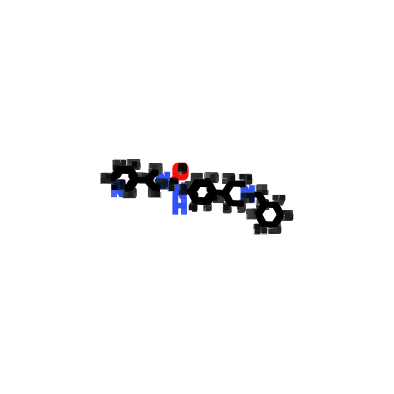 O=C(Nc1ccc(C2CCN(CC3CCCCC3)CC2)cc1)N1CC(c2cccnc2)C1